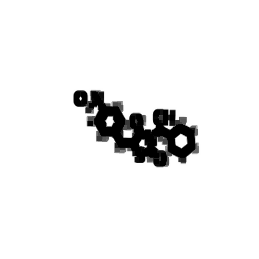 CC(C1CCCCC1)N1C(=O)SC(=Cc2ccc([N+](=O)[O-])cc2)C1=O